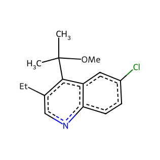 CCc1cnc2ccc(Cl)cc2c1C(C)(C)OC